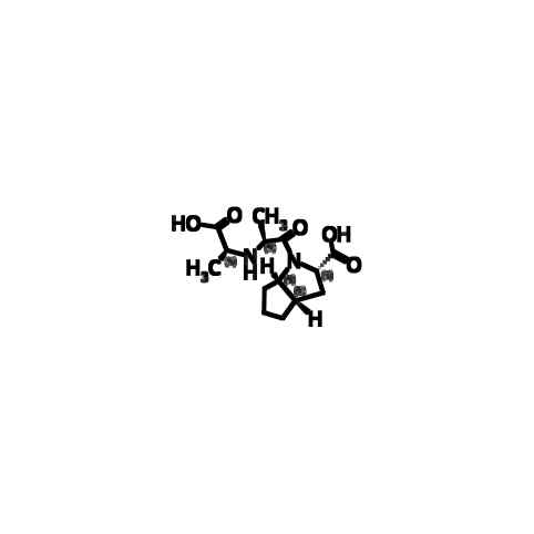 C[C@H](N[C@@H](C)C(=O)N1[C@H](C(=O)O)C[C@@H]2CCC[C@@H]21)C(=O)O